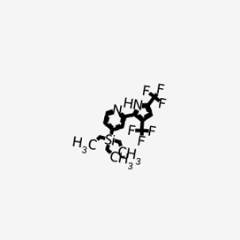 CC[Si](CC)(CC)c1ccnc(-c2[nH]c(C(F)(F)F)cc2C(F)(F)F)c1